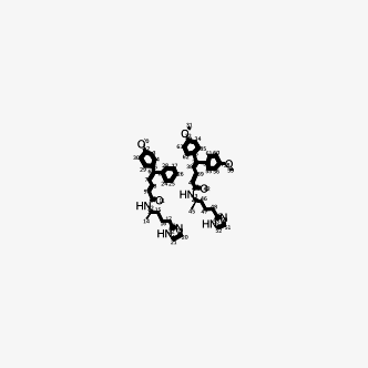 COc1ccc(/C(=C/C=C/C(=O)N[C@H](C)CCCc2ncc[nH]2)c2ccccc2)cc1.COc1ccc(C(=C/C=C/C(=O)N[C@H](C)CCCc2ncc[nH]2)c2ccc(OC)cc2)cc1